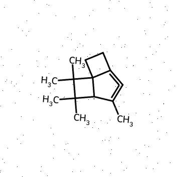 CC1=C=C2CCC23[C]1C(C)(C)C3(C)C